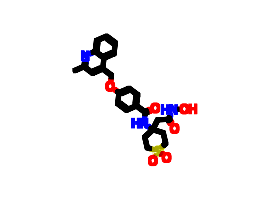 Cc1cc(COc2ccc(C(=O)NC3(CC(=O)NO)CCS(=O)(=O)CC3)cc2)c2ccccc2n1